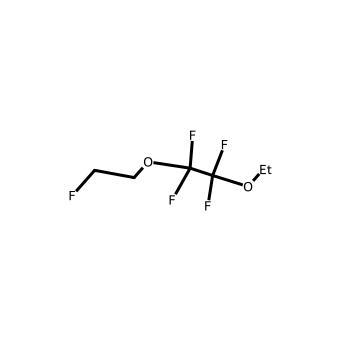 CCOC(F)(F)C(F)(F)OCCF